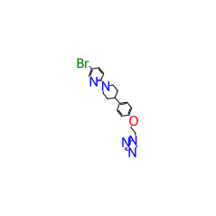 Brc1ccc(N2CCC(c3ccc(OCCn4cncn4)cc3)CC2)nc1